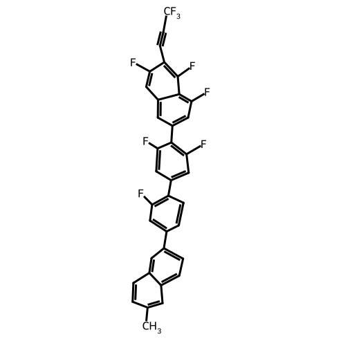 Cc1ccc2cc(-c3ccc(-c4cc(F)c(-c5cc(F)c6c(F)c(C#CC(F)(F)F)c(F)cc6c5)c(F)c4)c(F)c3)ccc2c1